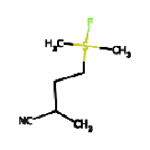 CC(C#N)CCS(C)(C)F